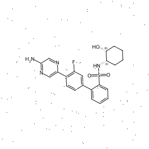 Nc1cnc(-c2ccc(-c3ccccc3S(=O)(=O)N[C@H]3CCCC[C@H]3O)cc2F)cn1